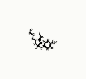 CCCCCCC(C)(CCCC)Cc1ccc(Br)cc1